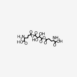 N[C@@H](CCC(=O)OC(=O)C(O)C(O)C(=O)OC(=O)CC[C@H](N)C(=O)O)C(=O)O